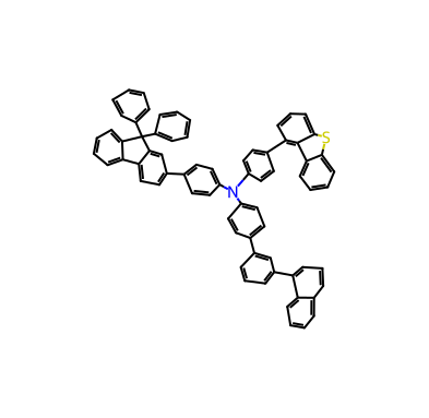 c1ccc(C2(c3ccccc3)c3ccccc3-c3ccc(-c4ccc(N(c5ccc(-c6cccc(-c7cccc8ccccc78)c6)cc5)c5ccc(-c6cccc7sc8ccccc8c67)cc5)cc4)cc32)cc1